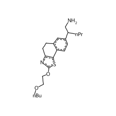 CCCCOCCOc1nc2c(s1)-c1ccc(C(CN)CCC)cc1CC2